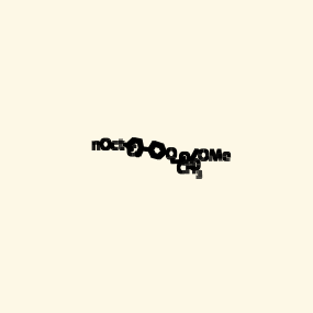 CCCCCCCCc1ccc(-c2ccc(OCC(C)OC(=O)COC)cc2)cc1